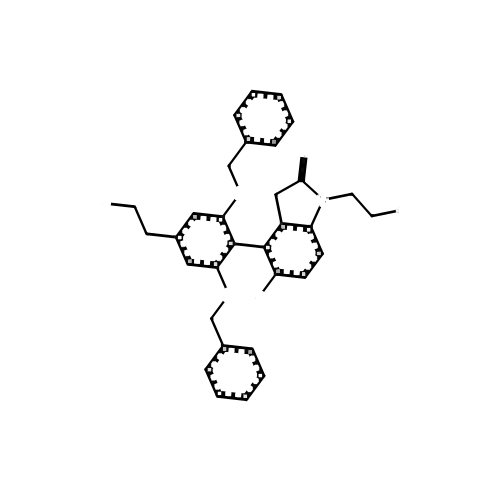 CCCc1cc(OCc2ccccc2)c(-c2c(C)ccc3c2CC(=O)N3CCF)c(OCc2ccccc2)c1